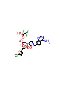 COC(=O)CN([C@H]1CCN(Cc2ccc3c(N)ncnc3c2)C1=O)S(=O)(=O)C=Cc1ccc(Cl)s1.O=C(O)C(F)(F)F